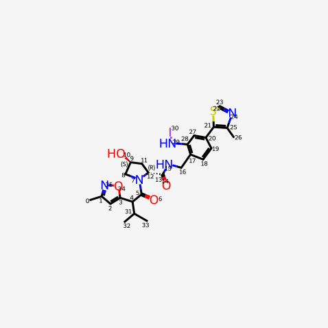 Cc1cc(C(C(=O)N2C[C@@H](O)C[C@@H]2C(=O)NCc2ccc(-c3scnc3C)cc2NI)C(C)C)on1